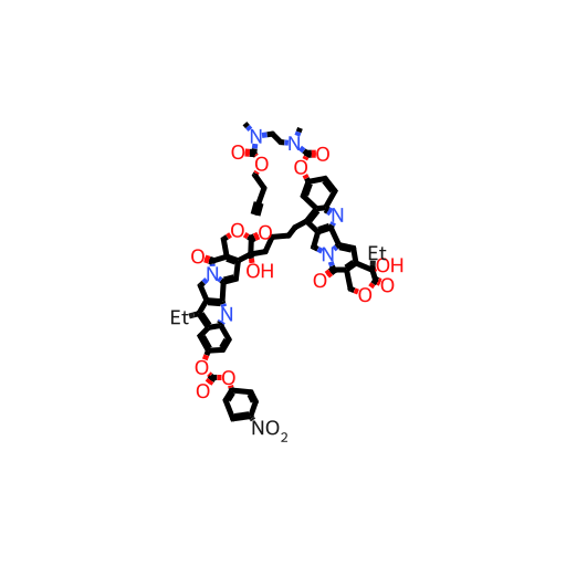 C#CCCOC(=O)N(C)CCN(C)C(=O)Oc1ccc2nc3c(c(CCCCC4(O)C(=O)OCc5c4cc4n(c5=O)Cc5c-4nc4ccc(OC(=O)Oc6ccc([N+](=O)[O-])cc6)cc4c5CC)c2c1)Cn1c-3cc2c(c1=O)COC(=O)C2(O)CC